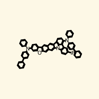 CC(C)c1ccc2c(c1)c1c(N(c3ccccc3)c3ccc(-c4ccccc4)cc3)ccc3c4cc5cc6c(cc5cc4n2c31)oc1cc(N(c2ccccc2)c2ccc(-c3ccccc3)cc2)ccc16